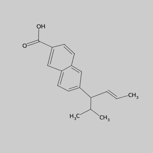 CC=CC(c1ccc2cc(C(=O)O)ccc2c1)C(C)C